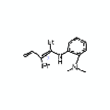 C=C/C(=C(\CC)Nc1ccccc1N(C)C)C(C)C